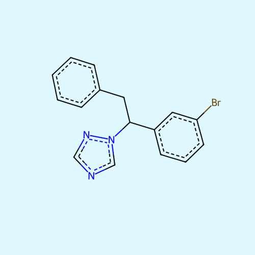 Brc1cccc(C(Cc2ccccc2)n2cncn2)c1